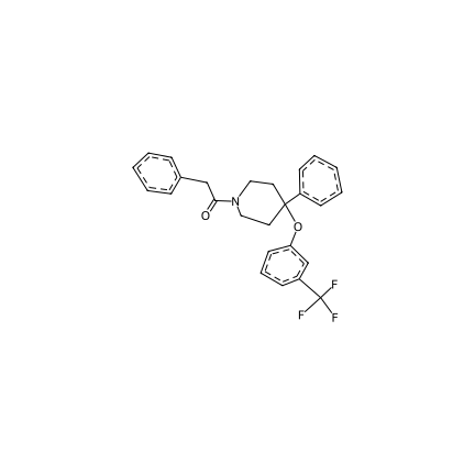 O=C(Cc1ccccc1)N1CCC(Oc2cccc(C(F)(F)F)c2)(c2ccccc2)CC1